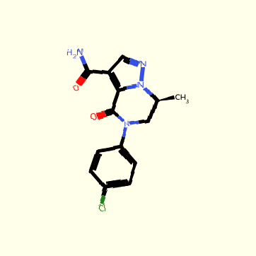 C[C@H]1CN(c2ccc(Cl)cc2)C(=O)c2c(C(N)=O)cnn21